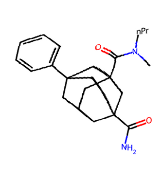 CCCN(C)C(=O)C12CC3CC(C(N)=O)(C1)CC(c1ccccc1)(C3)C2